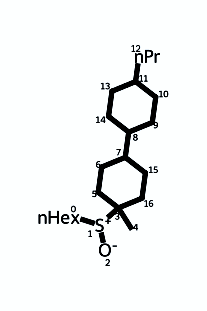 CCCCCC[S+]([O-])C1(C)CCC(C2CCC(CCC)CC2)CC1